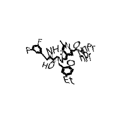 CCCN(CCC)C(=O)c1cc(C(=O)N(Cc2cccc(CC)c2)C[C@@H](O)[C@@H](N)Cc2cc(F)cc(F)c2)cc(C)n1